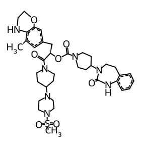 Cc1cc(C[C@@H](OC(=O)N2CCC(N3CCc4ccccc4NC3=O)CC2)C(=O)N2CCC(N3CCN(S(C)(=O)=O)CC3)CC2)cc2c1NCCO2